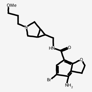 COCCCN1CC2C(CNC(=O)c3cc(Br)c(N)c4c3OCC4)C2C1